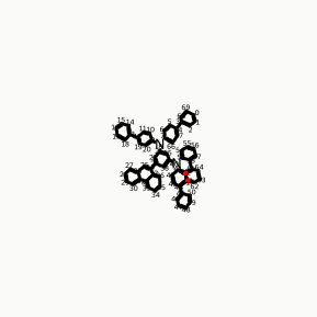 c1ccc(-c2ccc(N(c3ccc(-c4ccccc4)cc3)c3cc(-c4cc5ccccc5c5ccccc45)cc(N(c4ccc(-c5ccccc5)cc4)c4ccccc4-c4ccccc4)c3)cc2)cc1